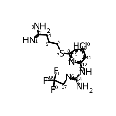 Cl.N=C(N)CCCSc1cccc(NC(N)=NCC(F)(F)F)n1